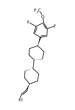 CC/C=C/[C@H]1CC[C@H]([C@H]2CC[C@H](c3cc(F)c(OC(F)(F)F)c(F)c3)CC2)CC1